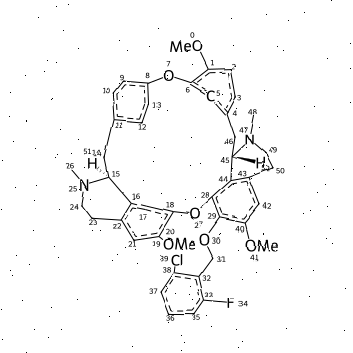 COc1ccc2cc1Oc1ccc(cc1)C[C@H]1c3cc(c(OC)cc3CCN1C)Oc1c(OCc3c(F)cccc3Cl)c(OC)cc3c1[C@H](C2)N(C)CC3